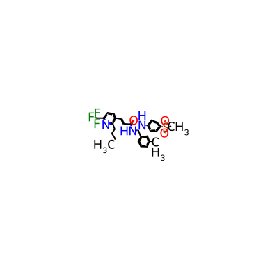 CCCCc1nc(C(F)(F)F)ccc1C=CC(=O)NC(Nc1ccc(S(C)(=O)=O)cc1)c1cccc(C)c1